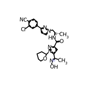 C/C(=N\O)c1cc(C(=O)N[C@@H](C)Cn2ccc(-c3ccc(C#N)c(Cl)c3)n2)nn1C1CCCCO1